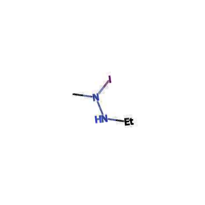 CCNN(C)I